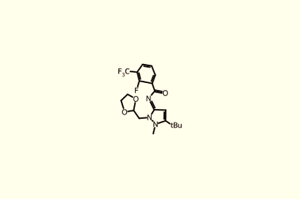 Cn1c(C(C)(C)C)cc(=NC(=O)c2cccc(C(F)(F)F)c2F)n1CC1OCCO1